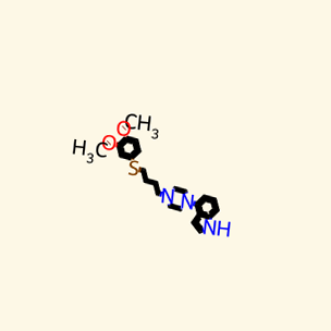 COc1ccc(SCCCCN2CCN(c3cccc4[nH]ccc34)CC2)cc1OC